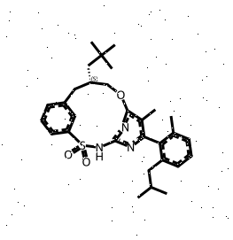 Cc1cccc(CC(C)C)c1-c1nc2nc(c1C)OC[C@@H](CC(C)(C)C)Cc1cccc(c1)S(=O)(=O)N2